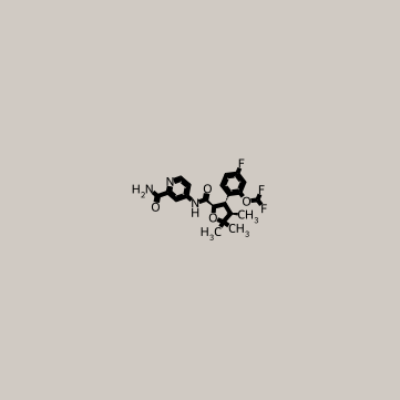 C[C@@H]1[C@@H](c2ccc(F)cc2OC(F)F)[C@H](C(=O)Nc2ccnc(C(N)=O)c2)OC1(C)C